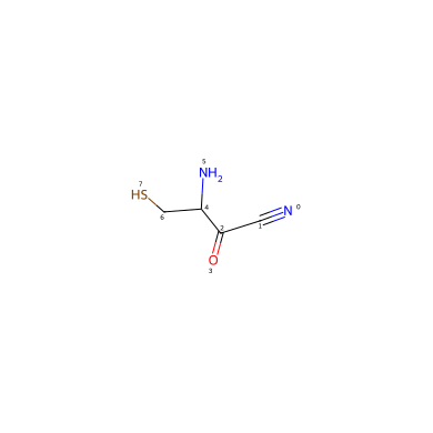 N#CC(=O)C(N)CS